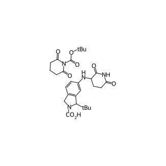 CC(C)(C)C1c2cc(NC3CCC(=O)NC3=O)ccc2CN1C(=O)O.CC(C)(C)OC(=O)N1C(=O)CCCC1=O